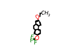 CCCOc1ccc2c(c1)CCc1cc(OC(F)(F)F)ccc1-2